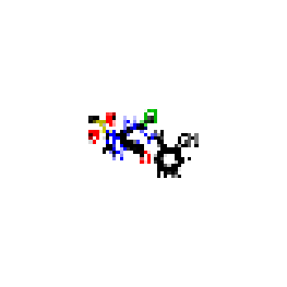 CS(=O)(=O)n1cnc2c(=O)n(Cc3ccccc3C#N)c(Cl)nc21